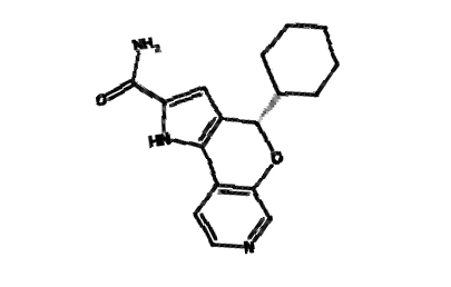 NC(=O)c1cc2c([nH]1)-c1ccncc1O[C@H]2C1CCCCC1